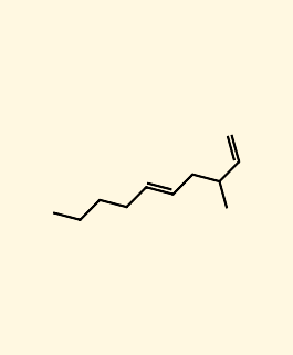 C=CC(C)CC=CCCCC